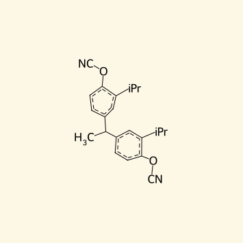 CC(C)c1cc(C(C)c2ccc(OC#N)c(C(C)C)c2)ccc1OC#N